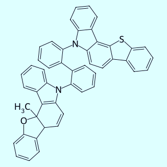 CC12Oc3ccccc3C1C=Cc1c2c2ccccc2n1-c1ccccc1-c1ccccc1-n1c2ccccc2c2c3sc4ccccc4c3ccc21